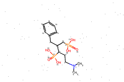 CN(C)CCC(C(Cc1ccccc1)CP(=O)(O)O)P(=O)(O)O